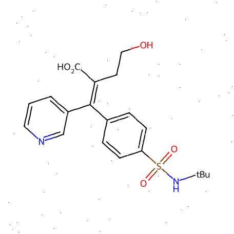 CC(C)(C)NS(=O)(=O)c1ccc(C(=C(CCO)C(=O)O)c2cccnc2)cc1